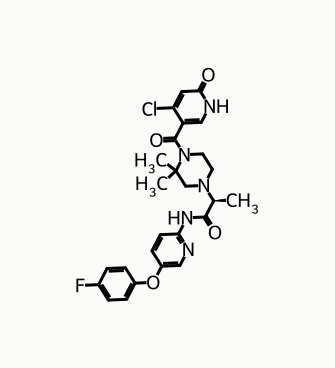 C[C@@H](C(=O)Nc1ccc(Oc2ccc(F)cc2)cn1)N1CCN(C(=O)c2c[nH]c(=O)cc2Cl)C(C)(C)C1